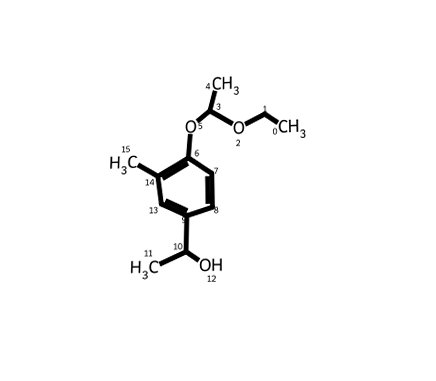 CCOC(C)Oc1ccc(C(C)O)cc1C